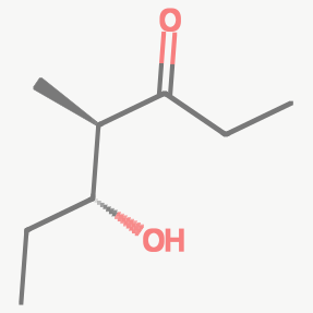 CCC(=O)[C@H](C)[C@H](O)CC